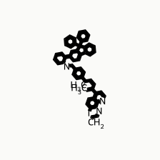 C=C/C=N\c1c(I)ccc2c(C(/C=C\[C@H](C)c3ccc(C/N=C4/C=CC=C/C4=C4\C=C5C(=CC4)c4ccccc4C5(c4ccccc4)c4ccccc4)cc3)=C/C)ccnc12